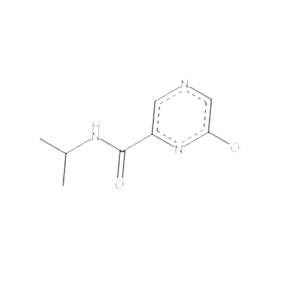 CC(C)NC(=O)c1cncc([O])n1